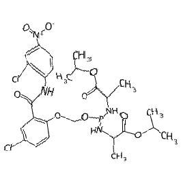 CC(C)OC(=O)C(C)NP(NC(C)C(=O)OC(C)C)OCOc1ccc(Cl)cc1C(=O)Nc1ccc([N+](=O)[O-])cc1Cl